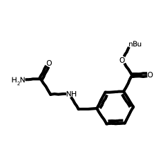 CCCCOC(=O)c1cccc(CNCC(N)=O)c1